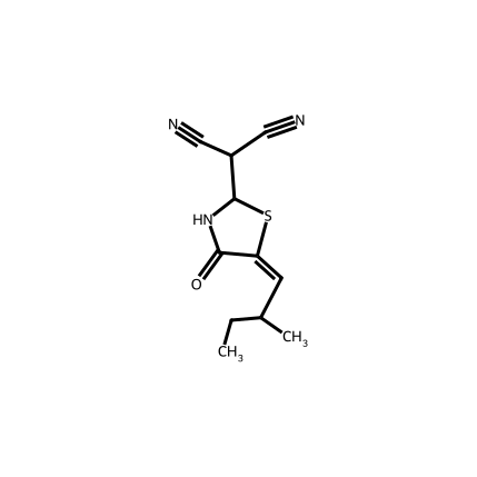 CCC(C)/C=C1/SC(C(C#N)C#N)NC1=O